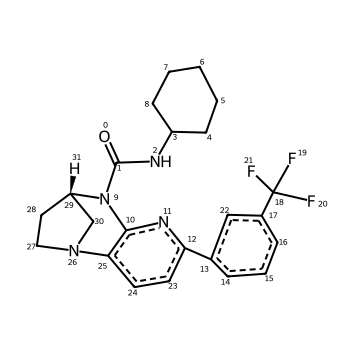 O=C(NC1CCCCC1)N1c2nc(-c3cccc(C(F)(F)F)c3)ccc2N2CC[C@H]1C2